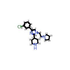 Clc1cccc(-c2cn(CCN3CCCC3)c(C3CCNCC3)n2)c1